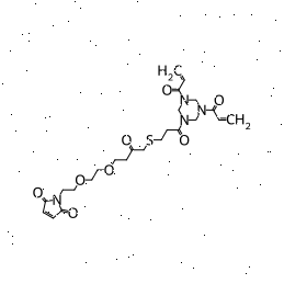 C=CC(=O)N1CN(C(=O)C=C)CN(C(=O)CCSCC(=O)CCOCCOCCN2C(=O)C=CC2=O)C1